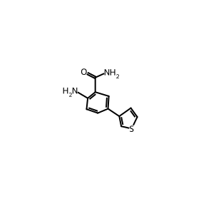 NC(=O)c1cc(-c2ccsc2)ccc1N